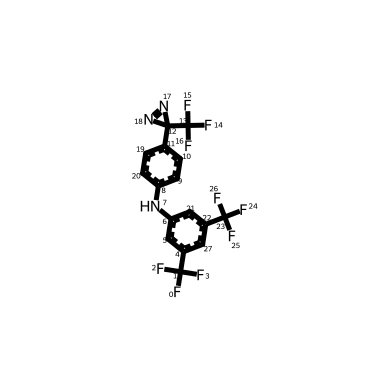 FC(F)(F)c1cc(Nc2ccc(C3(C(F)(F)F)N=N3)cc2)cc(C(F)(F)F)c1